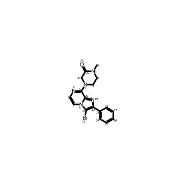 CN1CCN(c2nccn3c(Br)c(-c4ccccc4)nc23)CC1=O